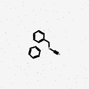 N#CSCc1ccccc1.c1ccccc1